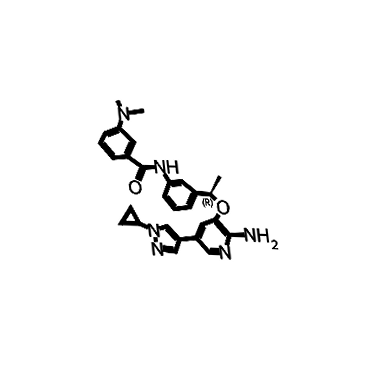 C[C@@H](Oc1cc(-c2cnn(C3CC3)c2)cnc1N)c1cccc(NC(=O)c2cccc(N(C)C)c2)c1